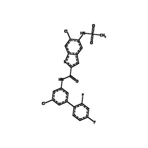 CS(=O)(=O)Nc1cc2cc(C(=O)Nc3cc(Cl)cc(-c4ccc(F)cc4F)c3)sc2cc1Cl